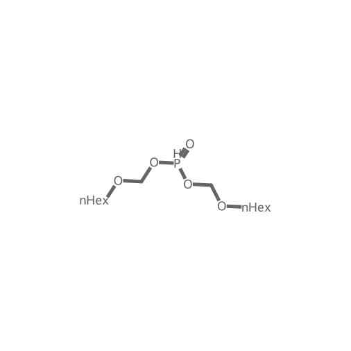 CCCCCCOCO[PH](=O)OCOCCCCCC